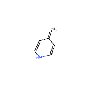 C=C1C=CNC=C1